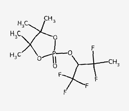 CC(F)(F)C(OP1(=O)OC(C)(C)C(C)(C)O1)C(F)(F)F